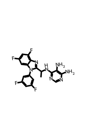 CC(Nc1ncnc(N)c1N)c1nc2c(F)cc(F)cc2n1-c1cc(F)cc(F)c1